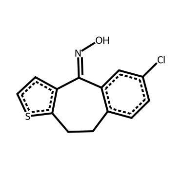 ON=C1c2cc(Cl)ccc2CCc2sccc21